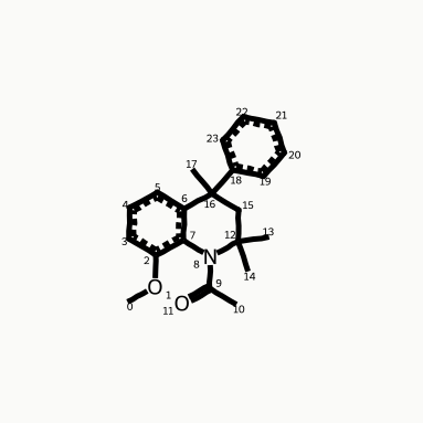 COc1cccc2c1N(C(C)=O)C(C)(C)CC2(C)c1ccccc1